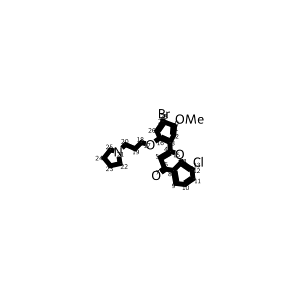 COc1cc(-c2cc(=O)c3cccc(Cl)c3o2)c(OCCCN2CCCC2)cc1Br